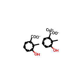 Cc1c(O)cccc1C(=O)[O-].Cc1c(O)cccc1C(=O)[O-].[Cu+2]